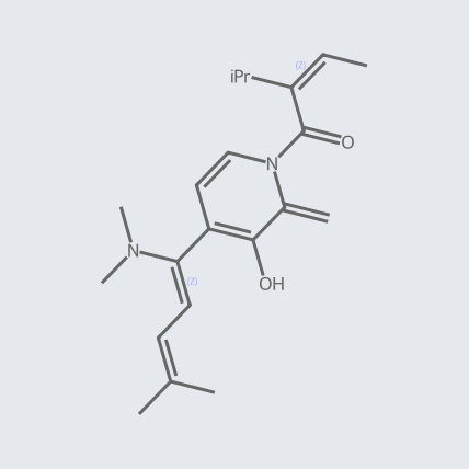 C=C1C(O)=C(/C(=C/C=C(C)C)N(C)C)C=CN1C(=O)/C(=C\C)C(C)C